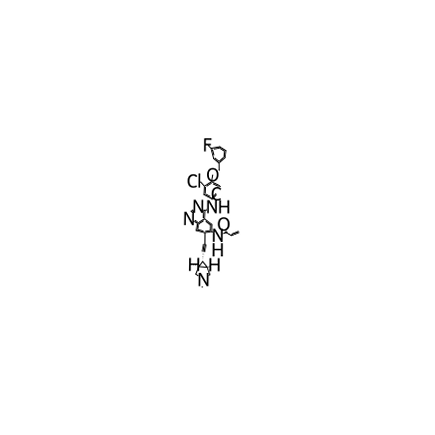 C=CC(=O)Nc1cc2c(Nc3ccc(OCc4cccc(F)c4)c(Cl)c3)ncnc2cc1C#C[C@@H]1[C@H]2CN(C)C[C@@H]12